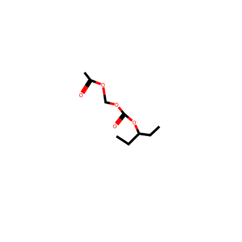 CCC(CC)OC(=O)OCOC(C)=O